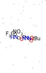 CC(C)(C)OC(=O)N1CCN(c2cccc(OC3CCC(Nc4ccc([N+](=O)[O-])c(C(F)(F)F)c4)CC3)n2)CC1